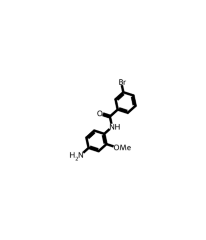 COc1cc(N)ccc1NC(=O)c1cccc(Br)c1